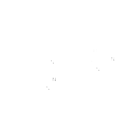 CC(C)C(N(C)C)n1ccc(-c2cnc3c(-c4ccccc4)cnn3c2)cc1=O